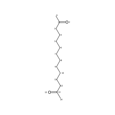 CC(=O)CCCCCCCCCCC(C)=O